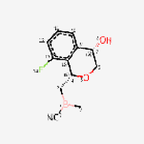 CB(C#N)C[C@H]1OC[C@@H](O)c2cccc(F)c21